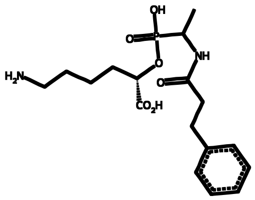 CC(NC(=O)CCc1ccccc1)P(=O)(O)O[C@@H](CCCCN)C(=O)O